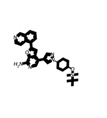 CC(C)(C)[Si](C)(C)O[C@H]1CC[C@H](n2cc(-c3cnc(N)c4oc(-c5cccc6cnccc56)cc34)cn2)CC1